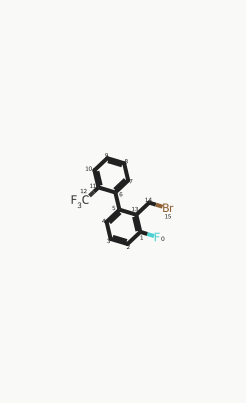 Fc1cccc(-c2ccccc2C(F)(F)F)c1CBr